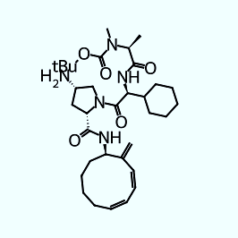 C=C1/C=C\C=C/CCCC[C@H]1NC(=O)[C@@H]1C[C@H](N)CN1C(=O)[C@@H](NC(=O)[C@H](C)N(C)C(=O)OC(C)(C)C)C1CCCCC1